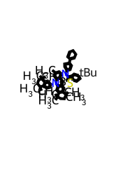 Cc1cc2c3c(c1)N(c1ccc(C4=CCCC=C4)cc1)c1c(sc4ccc(C(C)(C)C)cc14)B3c1cc3c(cc1N2c1ccc2c(c1)C(C)(C)CCC2(C)C)C(C)(C)CCC3(C)C